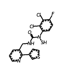 O=C(NCc1cccnc1-c1ccsc1)N(S)c1ccc(F)c(Cl)c1Cl